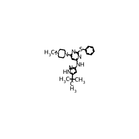 CN1CCN(c2cc(Nc3cc(C(C)(C)C)[nH]n3)nc(Sc3ccccc3)n2)CC1